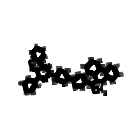 CCC1C(c2ccccc2)=NC(c2ccc(-c3ccc(C(C)C4Cc5ccccc5-c5ccccc54)cc3)cc2)=NC1c1ccccc1